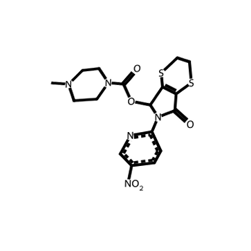 CN1CCN(C(=O)OC2C3=C(SCCS3)C(=O)N2c2ccc([N+](=O)[O-])cn2)CC1